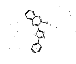 Nc1nc2ccccc2nc1-c1nnc(-c2ccccc2)o1